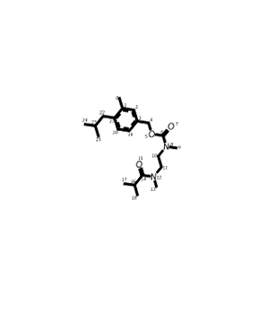 Cc1cc(COC(=O)N(C)CCN(C)C(=O)C(C)C)ccc1CC(C)C